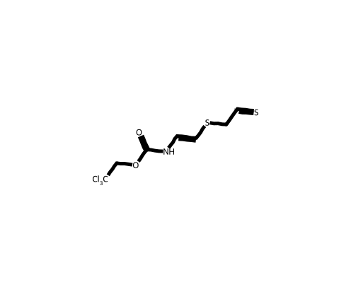 O=C(N/C=C/SC[C]=S)OCC(Cl)(Cl)Cl